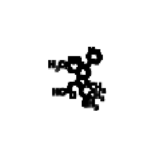 CN(C)Cc1c(O)c(-c2cccnc2)cc2c1c(CC(=O)O)c(CN(C)C)n2C